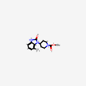 CC(C)(C)OC(=O)N1CCC(n2c(=O)[nH]c3cccc(C(F)(F)F)c32)CC1